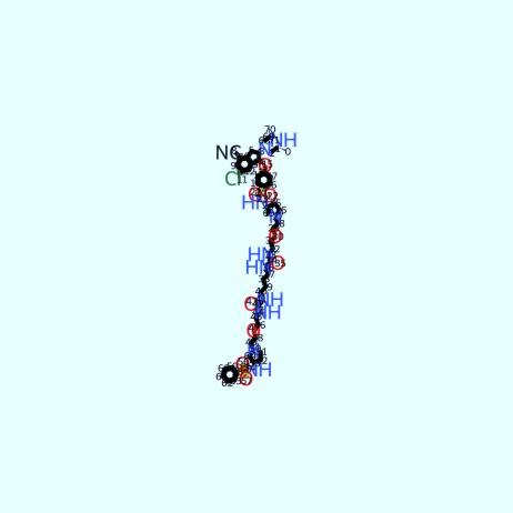 C[C@@H]1CN([C@H]2Cc3c(C#N)cc(Cl)cc3[C@@H]2Oc2ccc(S(=O)(=O)N[C@H]3CCN(CCOCCNC(=O)NCCCCNC(=O)NCCOCCN4CC[C@H](NS(=O)(=O)c5ccccc5)C4)C3)cc2)C[C@H](C)N1